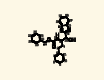 O=C(N[C@H](CCc1ccccc1)C(O)c1nc2ccccc2s1)OCc1ccccc1